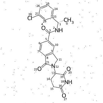 C[C@H](NC(=O)c1ccc2c(c1)CN(C1CCC(=O)NC1=O)C2=O)c1cccc(Cl)c1